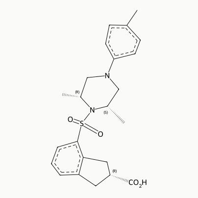 Cc1ccc(N2C[C@@H](C)N(S(=O)(=O)c3cccc4c3C[C@H](C(=O)O)C4)[C@@H](C)C2)cc1